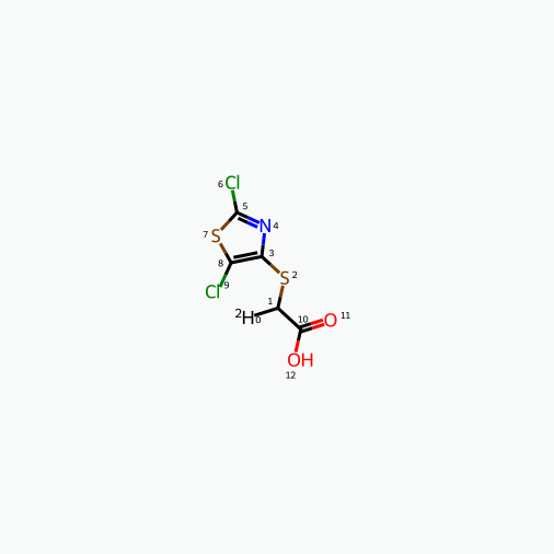 [2H]C(Sc1nc(Cl)sc1Cl)C(=O)O